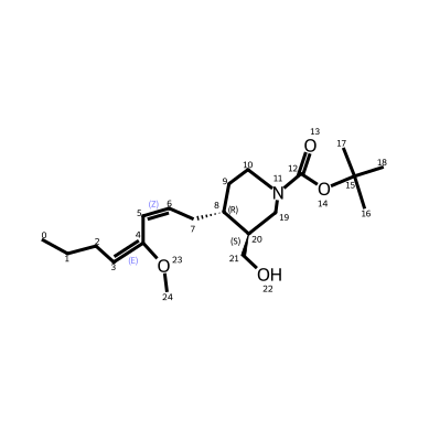 CCC/C=C(\C=C/C[C@@H]1CCN(C(=O)OC(C)(C)C)C[C@H]1CO)OC